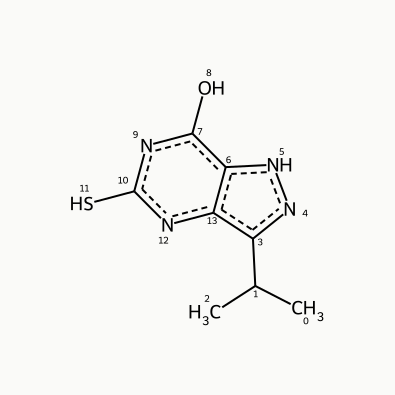 CC(C)c1n[nH]c2c(O)nc(S)nc12